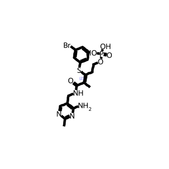 C/C(C(=O)NCc1cnc(C)nc1N)=C(\CCOP(=O)(O)O)Sc1cccc(Br)c1